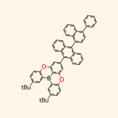 CC(C)(C)c1ccc2c(c1)B1c3cc(C(C)(C)C)ccc3Oc3cc(-c4c5ccccc5c(-c5ccc(-c6ccccc6)c6ccccc56)c5ccccc45)cc(c31)O2